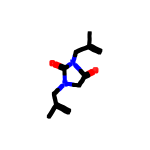 C=C(C)CN1CC(=O)N(CC(=C)C)C1=O